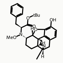 CON([C@@H](Cc1ccccc1)C(=O)OC(C)(C)C)[C@H]1CC[C@H]2[C@H]3Cc4ccc(O)c5c4[C@@]2(CCN3C)[C@H]1O5